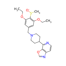 CCOc1cc(CN2CCC(c3nccc4ncoc34)CC2)cc(OCC)c1[S+](C)[O-]